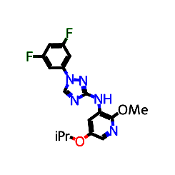 COc1ncc(OC(C)C)cc1Nc1ncn(-c2cc(F)cc(F)c2)n1